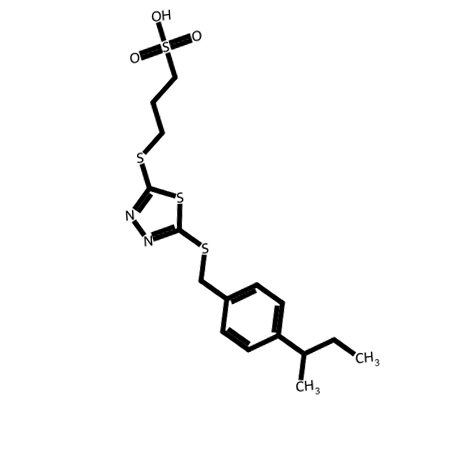 CCC(C)c1ccc(CSc2nnc(SCCCS(=O)(=O)O)s2)cc1